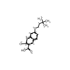 CC(C)(C)CCOc1ccc2cc(C(=O)O)c(Cl)nc2c1